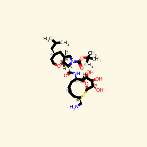 CC(C)C[C@@H]1CCO[C@@H]2[C@@H](C1)CN(C(=O)OC(C)(C)C)[C@@H]2C(=O)N[C@@H]1C/C=C\C[C@H](CN)SC2O[C@H]1C(O)C(O)[C@H]2O